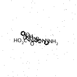 Nc1cccc(CN2CC[C@]3(CC(C(=O)NCC(NS(=O)(=O)c4ccccc4)C(=O)O)=NO3)C2)n1